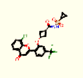 O=c1cc(-c2ccc(C(F)(F)F)cc2O[C@H]2C[C@H](C(=O)NS(=O)(=O)C3CC3)C2)oc2c(Cl)cccc12